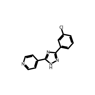 Clc1cccc(-c2n[nH]c(-c3ccncc3)n2)c1